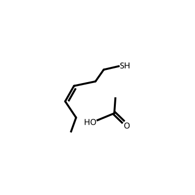 CC(=O)O.CC/C=C\CCS